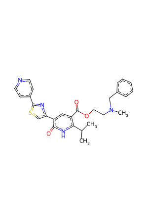 CC(C)c1[nH]c(=O)c(-c2csc(-c3ccncc3)n2)cc1C(=O)OCCN(C)Cc1ccccc1